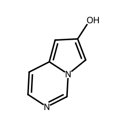 Oc1cc2ccncn2c1